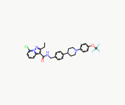 CCc1nn2c(Cl)cccc2c1C(=O)NCc1ccc(C2CCN(c3ccc(OC(F)(F)F)cc3)CC2)cc1